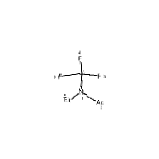 CCN(C(C)=O)C(F)(F)F